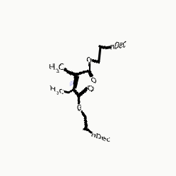 CCCCCCCCCCCCOC(=O)/C(C)=C(/C)C(=O)OCCCCCCCCCCCC